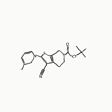 [CH2]C1=CC=CN(c2sc3c(c2C#N)CCN(C(=O)OC(C)(C)C)C3)C1